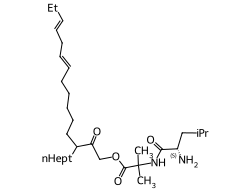 CCC=CCC=CCCCCCC(CCCCCCC)C(=O)COC(=O)C(C)(C)NC(=O)[C@@H](N)CC(C)C